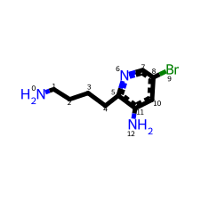 NCCCCc1ncc(Br)cc1N